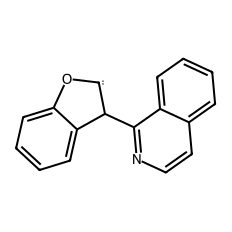 [C]1Oc2ccccc2C1c1nccc2ccccc12